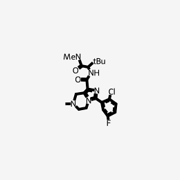 CNC(=O)C(NC(=O)c1nc(-c2cc(F)ccc2Cl)n2c1CN(C)CC2)C(C)(C)C